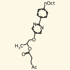 CCCCCCCCc1ccc(-c2ncc(OCC(C)OC(=O)CCC(C)=O)cn2)cc1